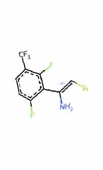 N/C(=C\S)c1c(F)ccc(C(F)(F)F)c1F